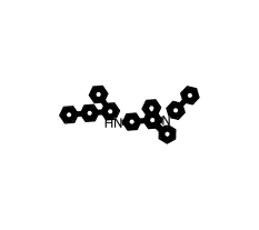 c1ccc(-c2ccc(-c3cc(Nc4ccc(-c5cc6c7ccccc7n(-c7ccc(-c8ccccc8)cc7)c6c6ccccc56)cc4)ccc3-c3ccccc3)cc2)cc1